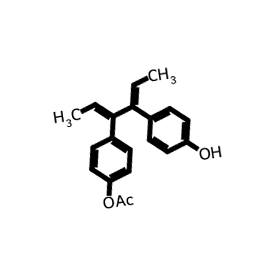 C/C=C(/C(=C/C)c1ccc(OC(C)=O)cc1)c1ccc(O)cc1